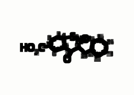 O=C(O)c1ccc2c(c1)C(=O)C(Cc1ccccc1)[N+](=O)S2